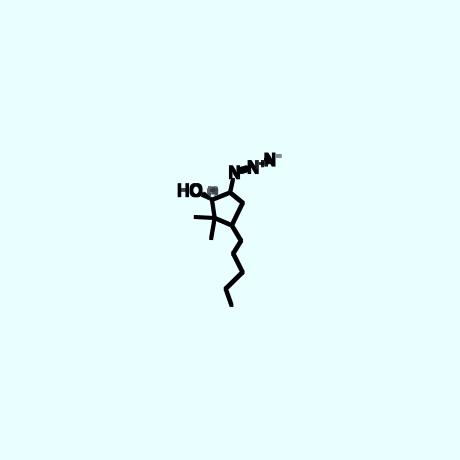 CCCCCC1CC(N=[N+]=[N-])[C@H](O)C1(C)C